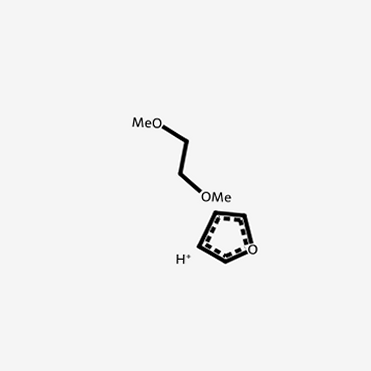 COCCOC.[H+].c1ccoc1